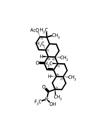 CC(=O)O[C@H]1CC[C@@]2(C)C(CC[C@]3(C)[C@@H]2C(=O)C=C2[C@@H]4C[C@@](C)(C(=O)N(O)C(F)(F)F)CC[C@]4(C)CC[C@]23C)C1(C)C